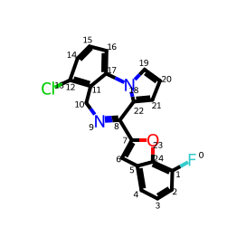 Fc1cccc2cc(C3=NCc4c(Cl)cccc4-n4cccc43)oc12